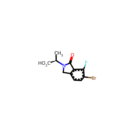 C[C@H](C(=O)O)N1Cc2ccc(Br)c(F)c2C1=O